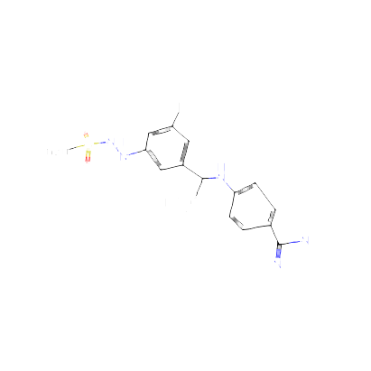 CCCCS(=O)(=O)NNc1cc(CC)cc(C(Nc2ccc(C(=N)N)cc2)C(=O)O)c1